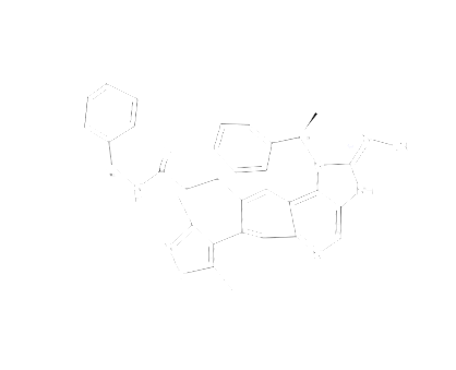 Cc1noc(C)c1-c1cc2ncc3[nH]/c(=N\C#N)n([C@H](C)c4ccccc4)c3c2cc1CCC(=O)N[C@H](C)c1ccccc1